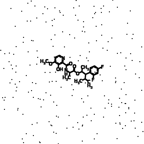 COc1ccnc(C(=O)NC(C)C(=O)OC(C)C(c2ccc(F)cc2F)C(C)C)c1O